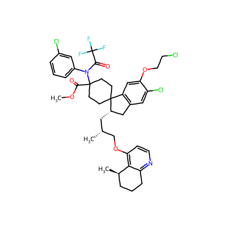 COC(=O)C1(N(C(=O)C(F)(F)F)c2cccc(Cl)c2)CCC2(CC1)c1cc(OCCCl)c(Cl)cc1C[C@@H]2C[C@@H](C)COc1ccnc2c1[C@H](C)CCC2